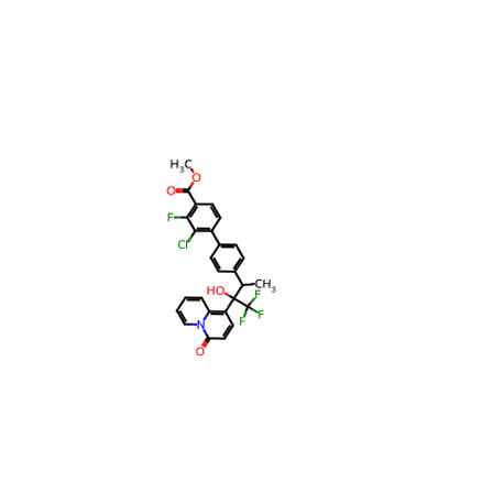 COC(=O)c1ccc(-c2ccc(C(C)C(O)(c3ccc(=O)n4ccccc34)C(F)(F)F)cc2)c(Cl)c1F